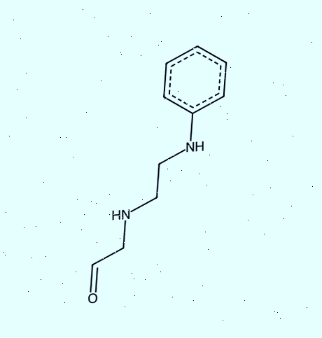 O=CCNCCNc1ccccc1